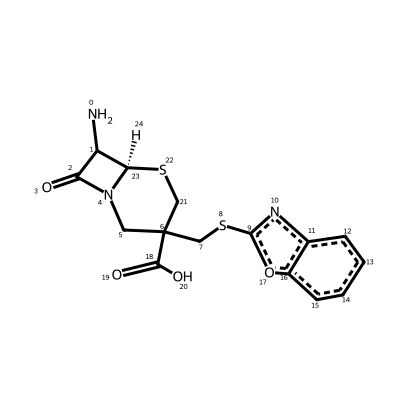 NC1C(=O)N2CC(CSc3nc4ccccc4o3)(C(=O)O)CS[C@H]12